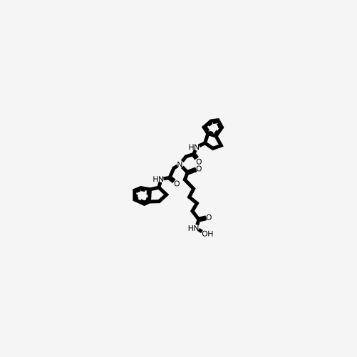 O=C(CCCCCC(=O)N(CC(=O)NC1CCc2ccccc21)CC(=O)NC1CCc2ccccc21)NO